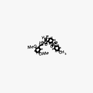 COc1ccc(OC)c(CCNS(=O)(=O)c2cc(S(=O)(=O)c3ccc(C)cc3)ccc2C)c1